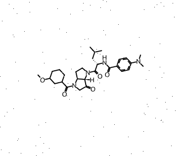 COC1CCCC(C(=O)N2CC(=O)[C@@H]3C2CCN3C(=O)[C@H](CC(C)C)NC(=O)c2ccc(N(C)C)cc2)C1